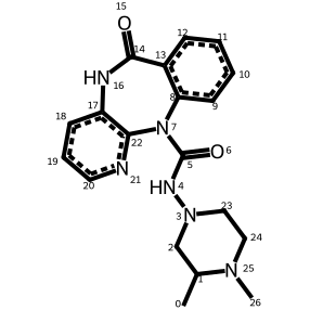 CC1CN(NC(=O)N2c3ccccc3C(=O)Nc3cccnc32)CCN1C